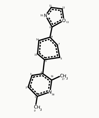 Cc1ccc(-c2ccc(-c3ncco3)cc2)c(C)n1